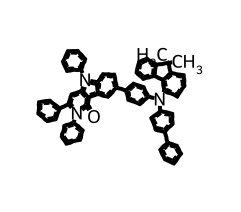 CC1(C)c2ccccc2-c2c(N(c3ccc(-c4ccccc4)cc3)c3ccc(-c4ccc5c(c4)c4c(=O)n(-c6ccccc6)c(-c6ccccc6)cc4n5-c4ccccc4)cc3)cccc21